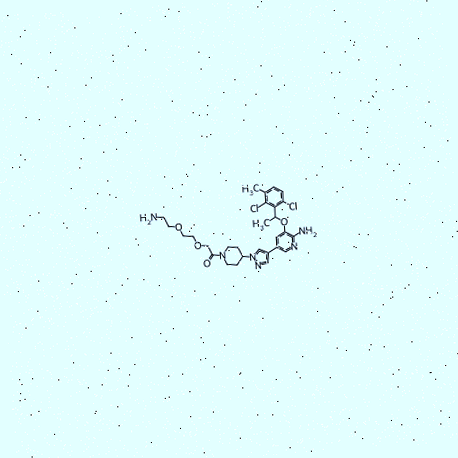 Cc1ccc(Cl)c(C(C)Oc2cc(-c3cnn(C4CCN(C(=O)COCCOCCN)CC4)c3)cnc2N)c1Cl